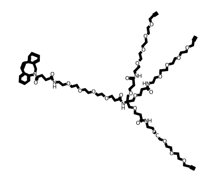 C#CCOCCOCCOCCOCCNC(=O)CCOCC(COCCC(=O)NCCOCCOCCOCCOCC#C)(COCCC(=O)NCCOCCOCCOCCOCC#C)NC(=O)CCOCCOCCOCCOCCNC(=O)CCC(=O)N1Cc2ccccc2C#Cc2ccccc21